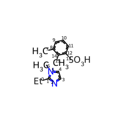 CCc1nccn1C.Cc1cccc(S(=O)(=O)O)c1C